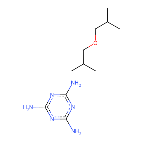 CC(C)COCC(C)C.Nc1nc(N)nc(N)n1